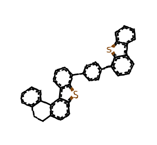 c1ccc2c(c1)CCc1ccc3sc4c(-c5ccc(-c6cccc7c6sc6ccccc67)cc5)cccc4c3c1-2